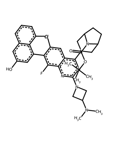 CN(C)C1CN(c2nc(N3CC4CCC(C3)N4C(=O)OC(C)(C)C)c3cc(Cl)c(-c4cc(O)cc5cccc(Cl)c45)c(F)c3n2)C1